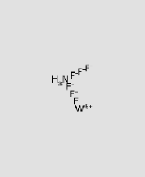 N.[F-].[F-].[F-].[F-].[F-].[F-].[W+6]